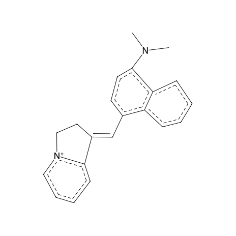 CN(C)c1ccc(C=C2CC[n+]3ccccc32)c2ccccc12